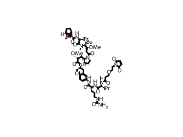 CC[C@H](C)[C@@H]([C@@H](CC(=O)N1CCC[C@H]1[C@H](OC)[C@@H](C)C(=O)N[C@H](CO)Cc1cccc(NC(=O)[C@H](CCCNC(N)=O)NC(=O)[C@@H](NC(=O)CCOCCN2C(=O)C=CC2=O)C(C)C)c1)OC)N(C)C(=O)[C@@H](NC(=O)[C@@H]1C2CC[C@@H]([C@H]2C)N1C)C(C)C